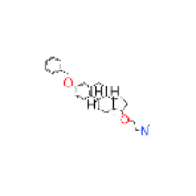 CN(C)CCO[C@@H]1CC[C@H]2[C@@H]3CCc4cc(OCc5ccccc5)ccc4[C@H]3CC[C@]12C